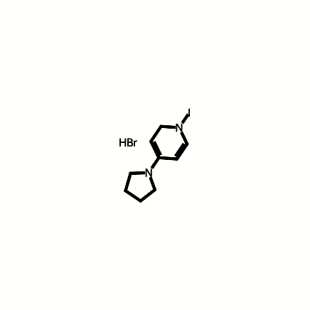 Br.IN1C=CC(N2CCCC2)=CC1